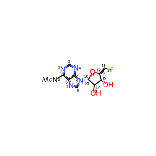 CNc1ncnc2c1ncn2[C@@H]1O/C(=C/F)C(O)C1O